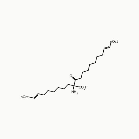 CCCCCCCCC=CCCCCCCCC(=O)C(N)(CCCCCCC=CCCCCCCCC)C(=O)O